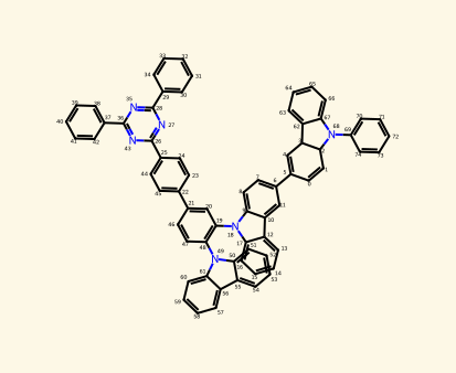 C1=CC2C(C=C1c1ccc3c(c1)c1ccccc1n3-c1cc(-c3ccc(-c4nc(-c5ccccc5)nc(-c5ccccc5)n4)cc3)ccc1-n1c3ccccc3c3ccccc31)c1ccccc1N2c1ccccc1